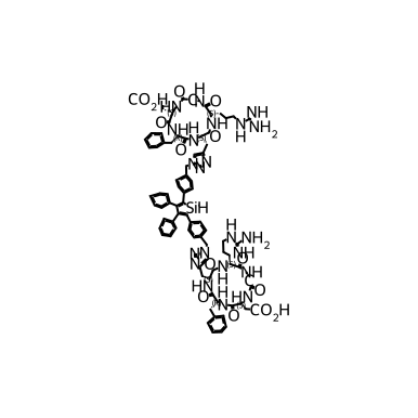 C[SiH]1C(c2ccc(Cn3cc(C[C@@H]4NC(=O)[C@@H](Cc5ccccc5)NC(=O)[C@H](CC(=O)O)NC(=O)CNC(=O)[C@H](CCCNC(=N)N)NC4=O)nn3)cc2)=C(c2ccccc2)C(c2ccccc2)=C1c1ccc(Cn2cc(C[C@@H]3NC(=O)[C@@H](Cc4ccccc4)NC(=O)[C@H](CC(=O)O)NC(=O)CNC(=O)[C@H](CCCNC(=N)N)NC3=O)nn2)cc1